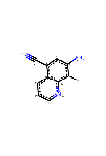 Cc1c(N)cc(C#N)c2cccnc12